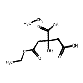 CCOC(=O)CC(O)(CC(=O)O)C(=O)O.[CH2]C